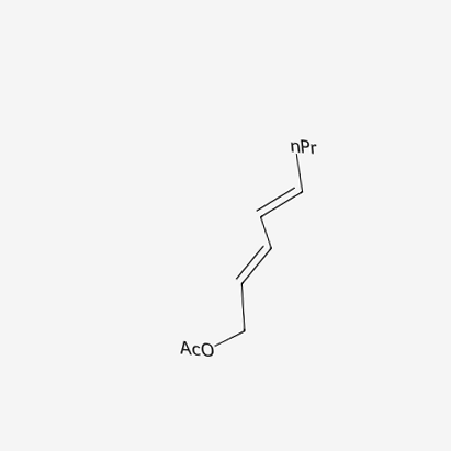 CCCC=CC=CCOC(C)=O